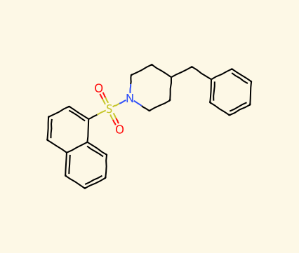 O=S(=O)(c1cccc2ccccc12)N1CCC(Cc2ccccc2)CC1